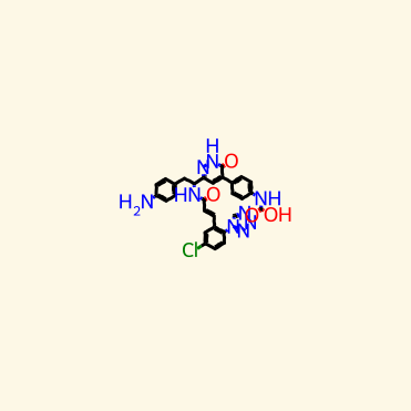 Nc1ccc(CC(NC(=O)C=Cc2cc(Cl)ccc2-n2cnnn2)c2cc(-c3ccc(NC(=O)O)cc3)c(=O)[nH]n2)cc1